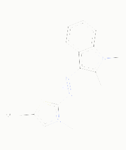 COc1c[n+](C)c(/N=N/c2c(C)n(C)c3ccccc23)s1.[Cl-]